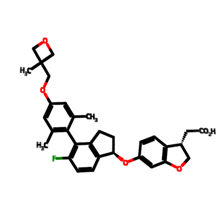 Cc1cc(OCC2(C)COC2)cc(C)c1-c1c(F)ccc2c1CC[C@H]2Oc1ccc2c(c1)OC[C@H]2CC(=O)O